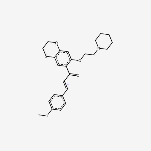 COc1ccc(/C=C/C(=O)c2cc3c(cc2OCCN2CCCCC2)OCCS3)cc1